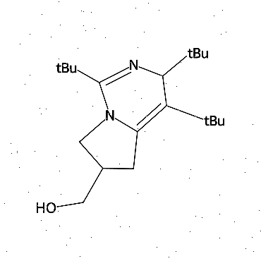 CC(C)(C)C1=NC(C(C)(C)C)C(C(C)(C)C)=C2CC(CO)CN12